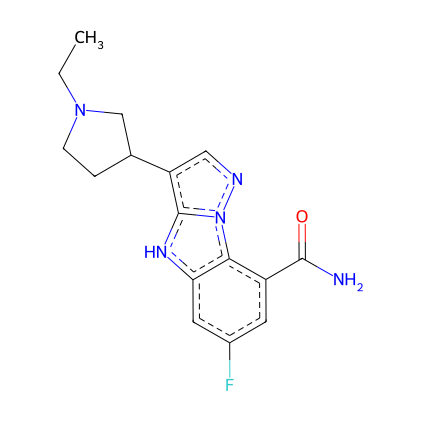 CCN1CCC(c2cnn3c2[nH]c2cc(F)cc(C(N)=O)c23)C1